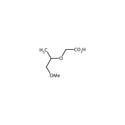 COCC(C)OCC(=O)O